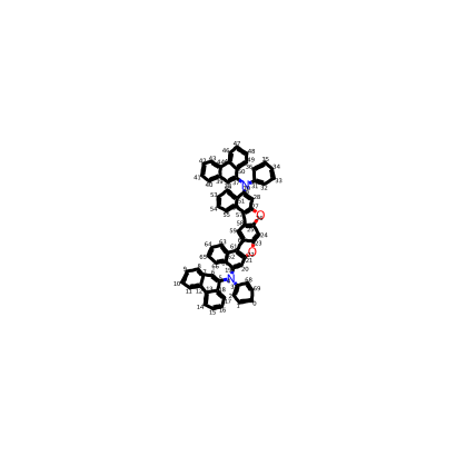 c1ccc(N(c2cc3ccccc3c3ccccc23)c2cc3oc4cc5oc6cc(N(c7ccccc7)c7cc8ccccc8c8ccccc78)c7ccccc7c6c5cc4c3c3ccccc23)cc1